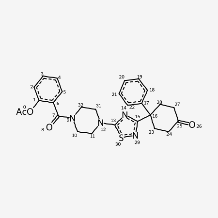 CC(=O)Oc1ccccc1C(=O)N1CCN(c2nc(C3(c4ccccc4)CCC(=O)CC3)ns2)CC1